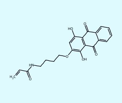 C=CC(=O)NCCCCOc1cc(O)c2c(c1O)C(=O)c1ccccc1C2=O